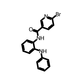 O=C(Nc1ccccc1Nc1ccccc1)c1ccc(Br)nc1